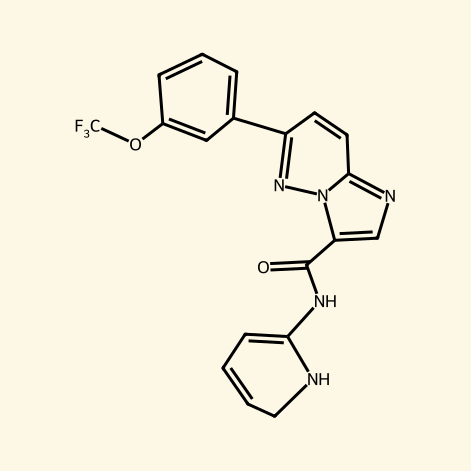 O=C(NC1=CC=CCN1)c1cnc2ccc(-c3cccc(OC(F)(F)F)c3)nn12